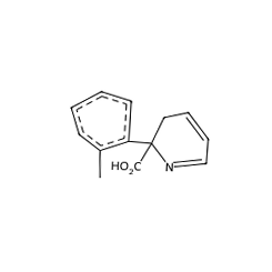 Cc1ccccc1C1(C(=O)O)CC=CC=N1